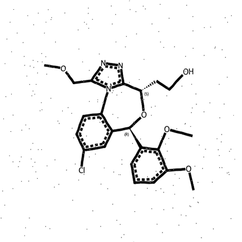 COCc1nnc2n1-c1ccc(Cl)cc1[C@H](c1cccc(OC)c1OC)O[C@H]2CCO